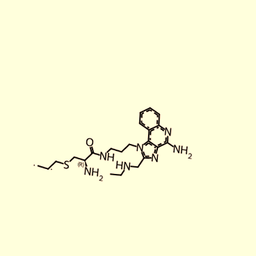 [CH2][CH]CSC[C@H](N)C(=O)NCCCn1c(CNCC)nc2c(N)nc3ccccc3c21